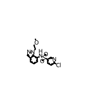 COCCn1ncc2cccc(NS(=O)(=O)c3ccc(Cl)nc3)c21